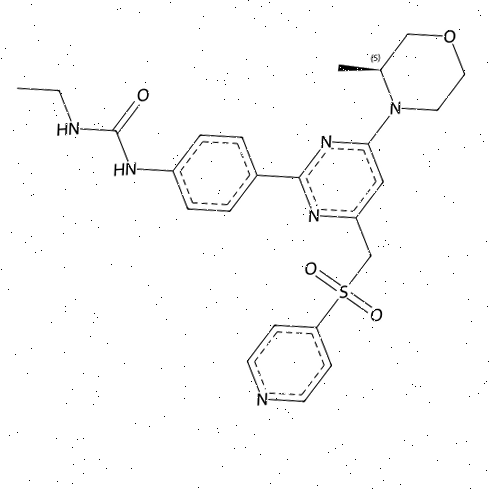 CCNC(=O)Nc1ccc(-c2nc(CS(=O)(=O)c3ccncc3)cc(N3CCOC[C@@H]3C)n2)cc1